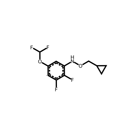 Fc1[c]c(OC(F)F)cc(NOCC2CC2)c1F